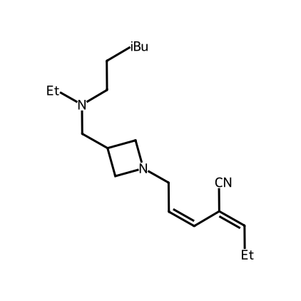 CC/C=C(C#N)\C=C/CN1CC(CN(CC)CCC(C)CC)C1